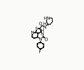 O=C(N[C@@H]1CCCNC1)c1sc2nccc3c2c1NC(=O)N3c1ccc(F)cc1